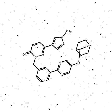 Cn1cc(-c2ccc(=O)n(Cc3cccc(-c4ncc(OC5CN6CCC5CC6)cn4)c3)n2)cn1